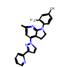 Cc1cc(-n2ccc(-c3ccccn3)n2)c2c(n1)N(c1ccc(C#N)cc1C(F)(F)F)CC2